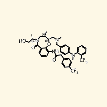 C[C@@H]1CN([C@@H](C)CO)C(=O)c2cccc(NC(=O)Cc3ccc(C(F)(F)F)cc3)c2O[C@@H]1CN(C)Cc1ccc(N(C)c2ccccc2C(F)(F)F)cc1